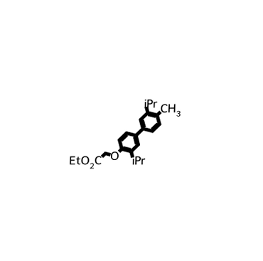 CCOC(=O)COc1ccc(-c2ccc(C)c(C(C)C)c2)cc1C(C)C